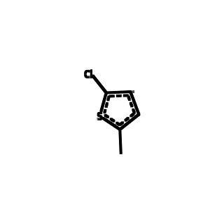 Cc1c[c]c(Cl)s1